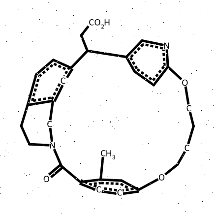 Cc1cc2ccc1C(=O)N1CCc3ccc(cc3C1)C(CC(=O)O)c1ccc(nc1)OCCCCO2